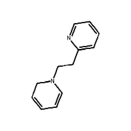 C1=CCN(CCc2ccccn2)C=C1